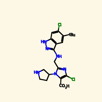 CC(C)(C)c1cc2c(NCc3nc(Cl)c(C(=O)O)n3C3CCNC3)n[nH]c2cc1Cl